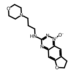 [O-][n+]1nc(NCCCN2CCOCC2)nc2cc3c(cc21)CCO3